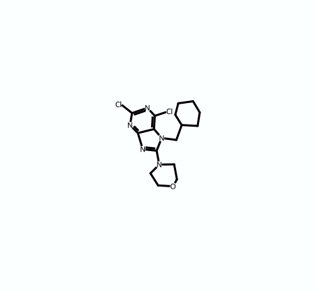 Clc1nc(Cl)c2c(n1)nc(N1CCOCC1)n2CC1CCCCC1